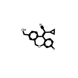 N#CC(=C1c2ccc(CO)cc2COc2cc(F)ccc21)C1CC1